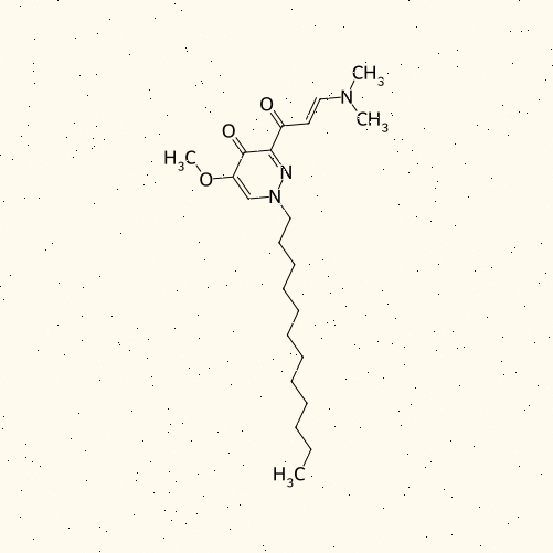 CCCCCCCCCCCCn1cc(OC)c(=O)c(C(=O)/C=C/N(C)C)n1